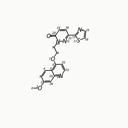 COc1ccc2c(OCCn3nc(-c4nccs4)ccc3=O)ccnc2c1